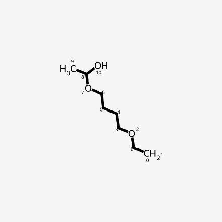 [CH2]COCCCCOC(C)O